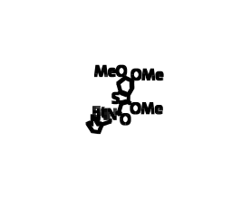 CCN1CCCC1CNC(=O)c1sc2c(c1OC)C=C(OC)C(OC)C2